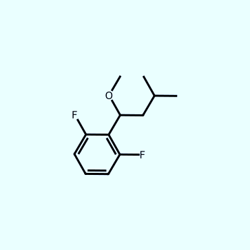 COC(CC(C)C)c1c(F)cccc1F